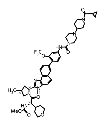 COC(=O)N[C@H](C(=O)N1C[C@@H](C)C[C@H]1c1nc2c(ccc3cc(-c4ccc(NC(=O)N5CCN(C6CCN(C(=O)C7CC7)CC6)CC5)cc4OC(F)(F)F)ccc32)[nH]1)C1CCOCC1